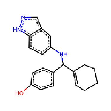 Oc1ccc(C(Nc2ccc3[nH]ncc3c2)C2=CCCCC2)cc1